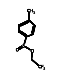 Cc1ccc(S(=O)OCC(F)(F)F)cc1